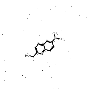 CN(C)c1ccc2nc(CO)ccc2c1